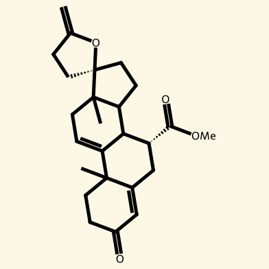 C=C1CC[C@@]2(CCC3C4C(=CCC32C)C2(C)CCC(=O)C=C2C[C@H]4C(=O)OC)O1